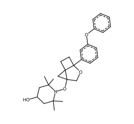 CC1(C)CC(O)CC(C)(C)N1OC12COC3(c4cccc(Oc5ccccc5)c4)CCC13C2